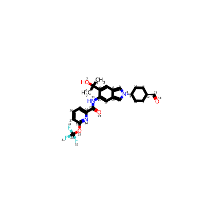 CC(C)(O)c1cc2cn([C@H]3CC[C@H](C=O)CC3)cc2cc1NC(=O)c1cccc(OC(F)(F)F)n1